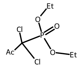 CCOP(=O)(OCC)C(Cl)(Cl)C(C)=O